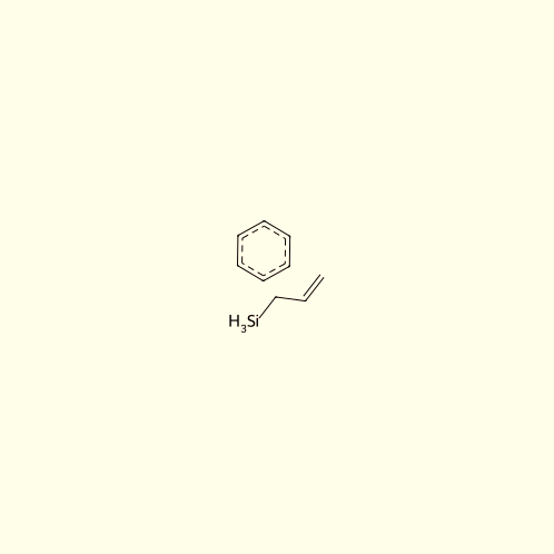 C=CC[SiH3].c1ccccc1